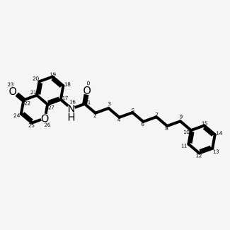 O=C(CCCCCCCCc1ccccc1)Nc1cccc2c(=O)c[c]oc12